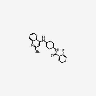 CC(C)(C)c1cc(NC2CCC(NC(=O)C3=CCCC=C3F)CC2)c2ccccc2n1